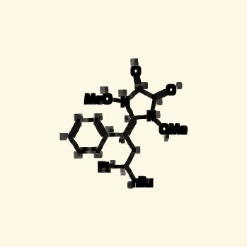 CCCCC(CC)CC(=C1N(OC)C(=O)C(=O)N1OC)c1ccccc1